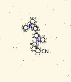 N#Cc1ccc2ccc3ccc(-n4c5ccccc5c5cc(-c6ccc7c8ccccc8n(-c8ccccc8)c7c6)ccc54)cc3c2c1